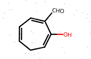 O=CC1=CC=CCC=C1O